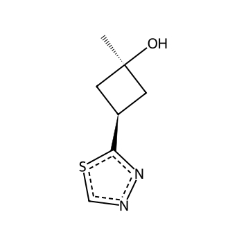 C[C@]1(O)C[C@@H](c2nncs2)C1